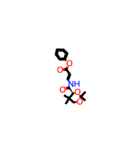 CC1(C)OCC(C)(C)[C@@H](C(=O)N/C=C/C(=O)Oc2ccccc2)O1